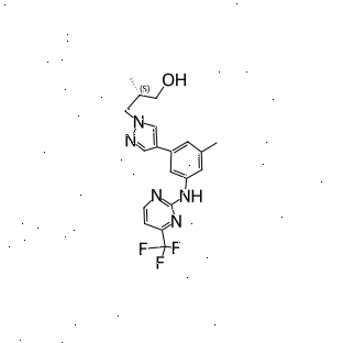 Cc1cc(Nc2nccc(C(F)(F)F)n2)cc(-c2cnn(C[C@H](C)CO)c2)c1